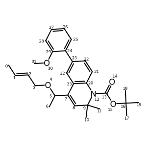 CC=CCOC(C)C1=CC(C)(C)N(C(=O)OC(C)(C)C)c2ccc(-c3ccccc3OC)cc21